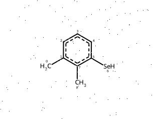 Cc1cccc([SeH])c1C